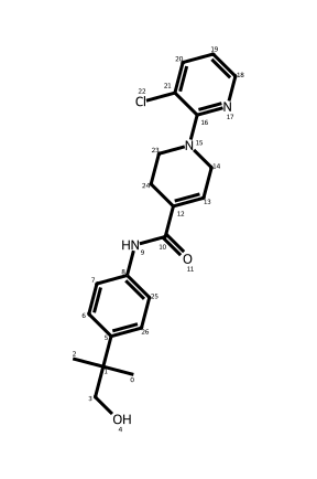 CC(C)(CO)c1ccc(NC(=O)C2=CCN(c3ncccc3Cl)CC2)cc1